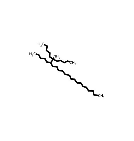 CCCCCCCCCCCCCCCCC(CCCCC)C(N)(CCCCC)CCCCC